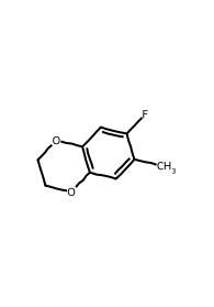 Cc1cc2c(cc1F)OCCO2